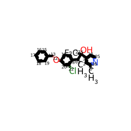 Cc1cc(C(O)(C(C)c2ccc(OCc3ccccc3)cc2Cl)C(F)(F)F)ccn1